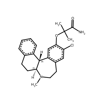 CN1CCc2cc(Cl)c(OC(C)(C)C(N)=O)cc2[C@H]2c3ccccc3CC[C@@H]21